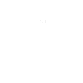 CC(O)S(=O)(=O)c1ccccc1N